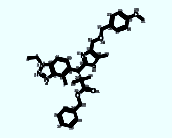 CCn1nnc2c(C)c([C@H](c3nc(COCc4ccc(OC)cc4)c(C)s3)C(C)(C)C(=O)OCc3ccccc3)ccc21